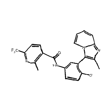 Cc1nc(C(F)(F)F)ccc1C(=O)Nc1ccc(Cl)c(-c2c(C)nc3ccccn23)c1